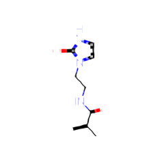 C=C(C)C(=O)NCCn1cc[nH]c1=O